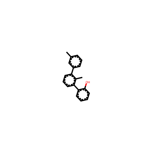 Cc1cccc(-c2cccc(-c3ccccc3O)c2C)c1